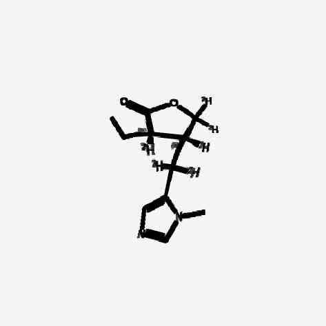 [2H]C1([2H])OC(=O)[C@@]([2H])(CC)[C@@]1([2H])C([2H])([2H])c1cncn1C